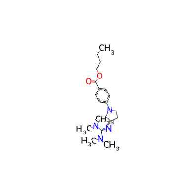 CCCCOC(=O)c1ccc(N2CC[C@H](N=C(N(C)C)N(C)C)C2)cc1